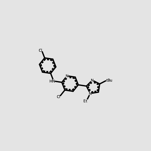 CCn1cc(C(C)(C)C)nc1-c1cnc(Nc2ccc(Cl)cc2)c(Cl)c1